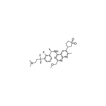 COCc1nc(N[C@H](C)c2cccc(C(F)(F)CCN(C)C)c2F)c2cc(C3CCS(=O)(=O)C3)c(C)nc2n1